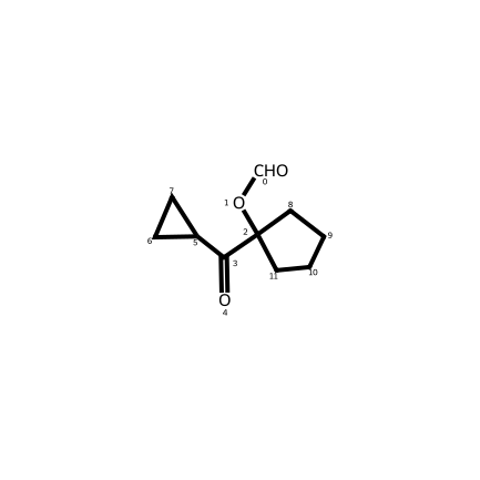 O=COC1(C(=O)C2CC2)CCCC1